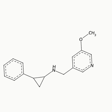 COc1cncc(CNC2CC2c2ccccc2)c1